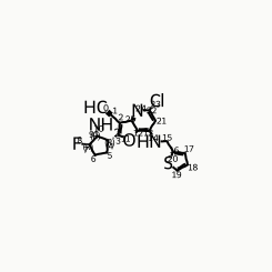 C#Cc1c([C@@H]2CC[C@@H](F)[C@@H]2N)oc2c(NCc3cccs3)cc(Cl)nc12